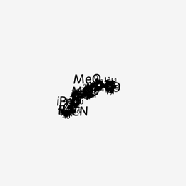 COc1cc(-c2cn(C)c(=O)c(C)c2C)cc(OC)c1CN1CCN(Cc2cccc3c2CCN(C(=O)/C(C#N)=C\C(C)(C)CF)C3C(C)C)C2(CC2)C1